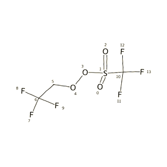 O=S(=O)(OOCC(F)(F)F)C(F)(F)F